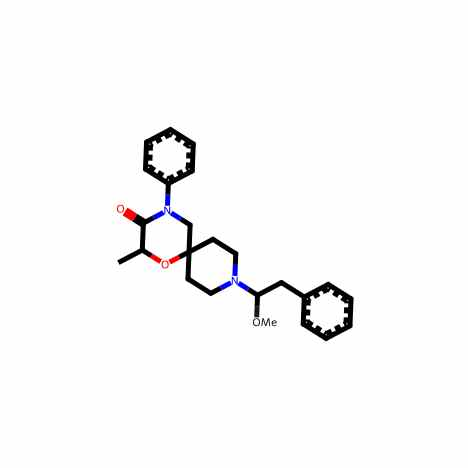 COC(Cc1ccccc1)N1CCC2(CC1)CN(c1ccccc1)C(=O)C(C)O2